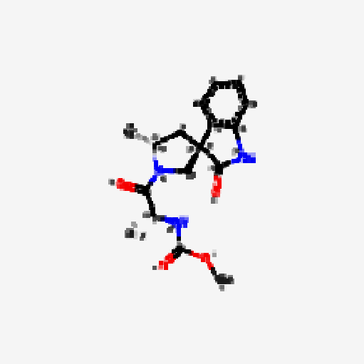 CC[C@H](C)[C@H](NC(=O)OC(C)(C)C)C(=O)N1C[C@]2(C[C@H]1C#N)C(=O)Nc1ccccc12